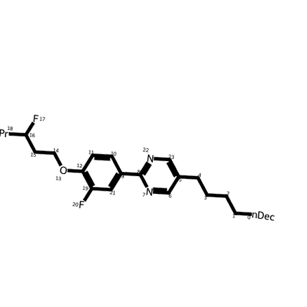 CCCCCCCCCCCCCCc1cnc(-c2ccc(OCCC(F)CCC)c(F)c2)nc1